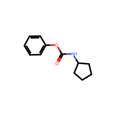 O=C(NC1CCCC1)Oc1[c]cccc1